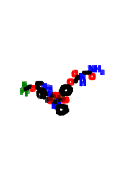 Cc1c(OCC(F)(F)F)ccnc1CNS(=O)(=O)c1nc2ccccc2n1S(=O)(=O)c1ccc(OCC(=O)NCC(N)=O)cc1